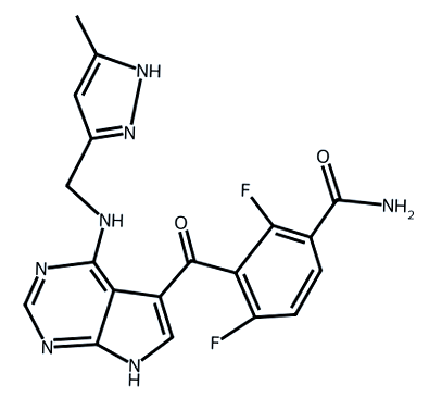 Cc1cc(CNc2ncnc3[nH]cc(C(=O)c4c(F)ccc(C(N)=O)c4F)c23)n[nH]1